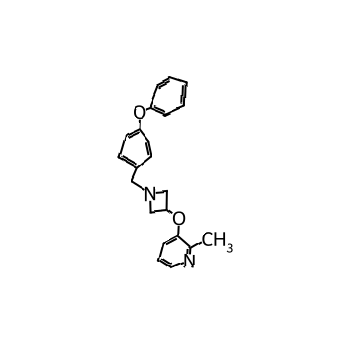 Cc1ncccc1OC1CN(Cc2ccc(Oc3ccccc3)cc2)C1